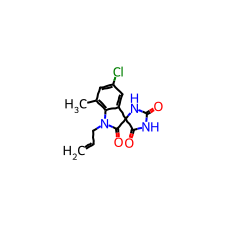 C=CCN1C(=O)C2(NC(=O)NC2=O)c2cc(Cl)cc(C)c21